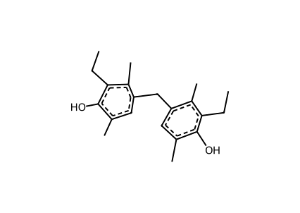 CCc1c(C)c(Cc2cc(C)c(O)c(CC)c2C)cc(C)c1O